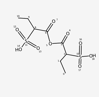 CCC(C(=O)OC(=O)C(CC)S(=O)(=O)O)S(=O)(=O)O